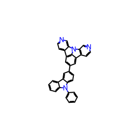 c1ccc(-n2c3ccccc3c3cc(-c4cc5c6ccncc6n6c7cnccc7c(c4)c56)ccc32)cc1